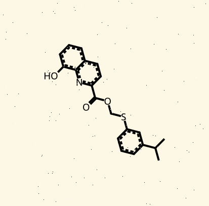 CC(C)c1cccc(SCOC(=O)c2ccc3cccc(O)c3n2)c1